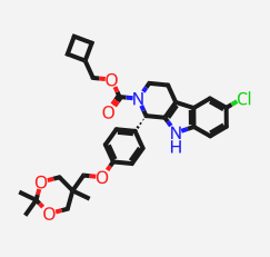 CC1(COc2ccc([C@H]3c4[nH]c5ccc(Cl)cc5c4CCN3C(=O)OCC3CCC3)cc2)COC(C)(C)OC1